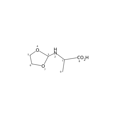 CC(NC1OCCO1)C(=O)O